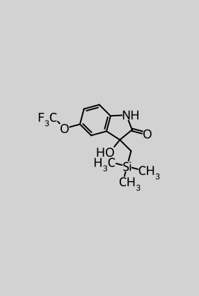 C[Si](C)(C)CC1(O)C(=O)Nc2ccc(OC(F)(F)F)cc21